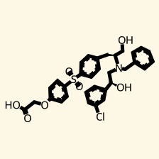 O=C(O)COc1ccc(S(=O)(=O)c2ccc(C[C@@H](CO)N(Cc3ccccc3)C[C@@H](O)c3cccc(Cl)c3)cc2)cc1